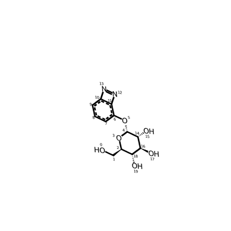 OC[C@H]1O[C@H](Oc2cccc3c2N=N3)[C@H](O)[C@@H](O)[C@@H]1O